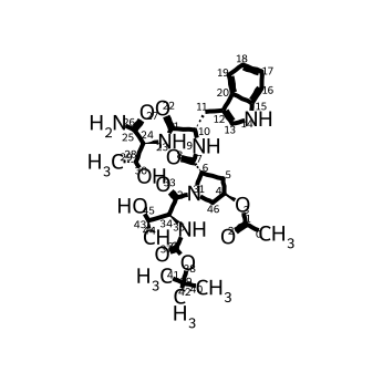 CC(=O)O[C@@H]1C[C@@H](C(=O)N[C@@H](Cc2c[nH]c3ccccc23)C(=O)N[C@H](C(N)=O)[C@@H](C)O)N(C(=O)[C@@H](NC(=O)OC(C)(C)C)[C@@H](C)O)C1